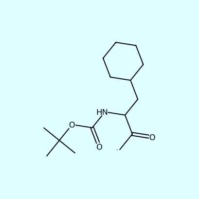 [CH2]C(=O)C(CC1CCCCC1)NC(=O)OC(C)(C)C